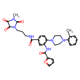 Cc1ccccc1N1CCN(c2ccc(C(=O)NCCCN3C(=O)C(=O)N(C)C3=O)cc2NC(=O)c2ccco2)CC1